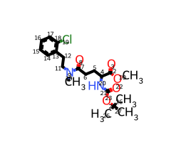 COC(=O)C(CCC(=O)N(C)CCc1ccccc1Cl)NC(=O)OC(C)(C)C